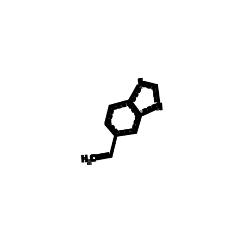 C=Cc1ccc2scnc2c1